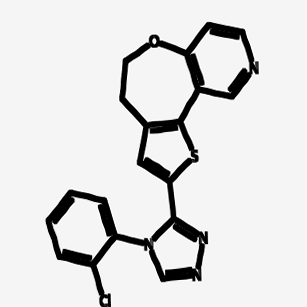 Clc1ccccc1-n1cnnc1-c1cc2c(s1)-c1cnccc1OCC2